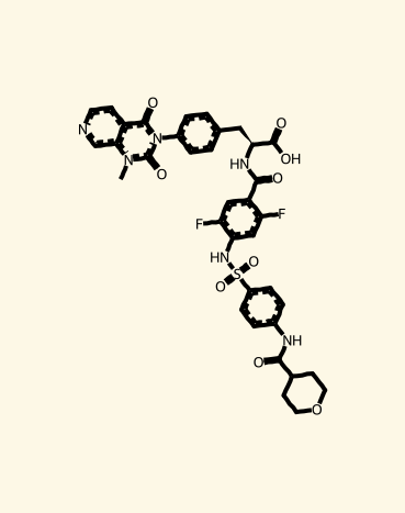 Cn1c(=O)n(-c2ccc(C[C@H](NC(=O)c3cc(F)c(NS(=O)(=O)c4ccc(NC(=O)C5CCOCC5)cc4)cc3F)C(=O)O)cc2)c(=O)c2ccncc21